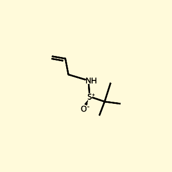 C=CCN[S@+]([O-])C(C)(C)C